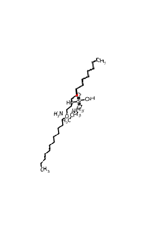 CC.CCCCCCCCCCCCOCCCCCCCCCCCC.N.N.O=S(=O)(O)O